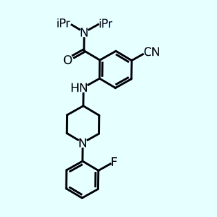 CC(C)N(C(=O)c1cc(C#N)ccc1NC1CCN(c2ccccc2F)CC1)C(C)C